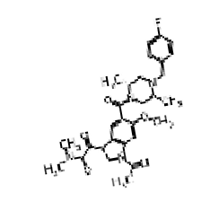 COc1cc2c(cc1C(=O)N1C[C@H](C)N(Cc3ccc(F)cc3)C[C@H]1C)C(C(=O)C(=O)N(C)C)CN2C(C)=O